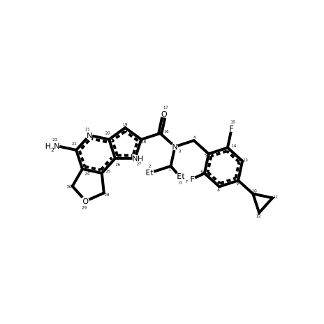 CCC(CC)N(Cc1c(F)cc(C2CC2)cc1F)C(=O)c1cc2nc(N)c3c(c2[nH]1)COC3